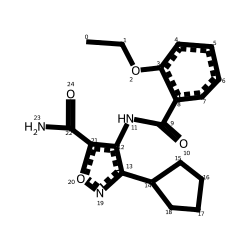 CCOc1ccccc1C(=O)Nc1c(C2CCCC2)noc1C(N)=O